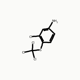 Nc1ccc(SC(Cl)(Cl)Cl)c(Cl)c1